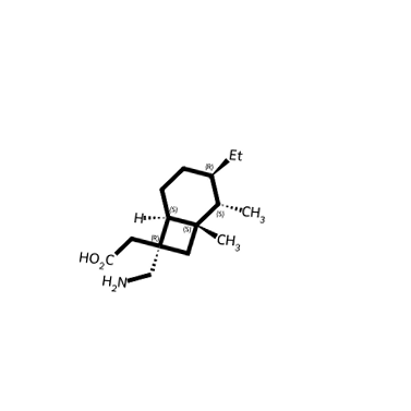 CC[C@@H]1CC[C@@H]2[C@](CN)(CC(=O)O)C[C@@]2(C)[C@H]1C